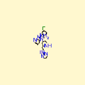 NC1=Nc2ncccc2[N+]1(Cc1ccc(F)cc1)C1CCNC(CCNc2ncccn2)C1